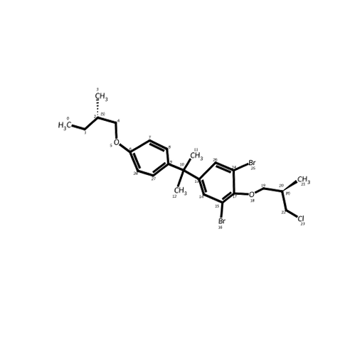 CC[C@H](C)COc1ccc(C(C)(C)c2cc(Br)c(OC[C@@H](C)CCl)c(Br)c2)cc1